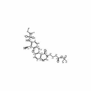 CCN(C)S(=O)(=O)Nc1ccc(F)c(Oc2ccc3ncn(CCCC(=O)OC(C)(C)C)c(=O)c3c2)c1C#N